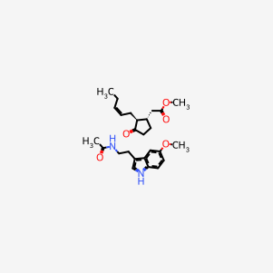 CC/C=C\C[C@@H]1C(=O)CC[C@H]1CC(=O)OC.COc1ccc2[nH]cc(CCNC(C)=O)c2c1